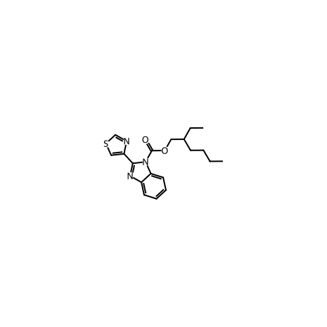 CCCCC(CC)COC(=O)n1c(-c2cscn2)nc2ccccc21